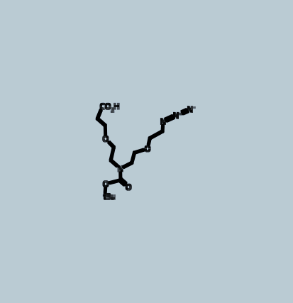 CC(C)(C)OC(=O)N(CCOCCN=[N+]=[N-])CCOCCC(=O)O